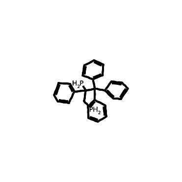 PCC(P)(c1ccccc1)C(c1ccccc1)(c1ccccc1)c1ccccc1